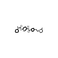 CC1CCCN(CCc2ccc(C(=O)Nc3ccc(OC(=O)N(C)c4ccccc4)nc3)cc2)C1